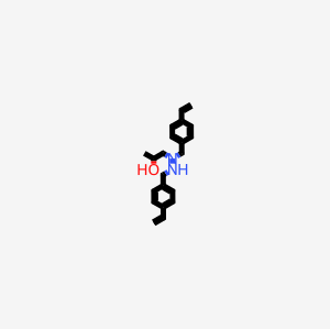 C=Cc1ccc(CNN(Cc2ccc(C=C)cc2)CC(C)O)cc1